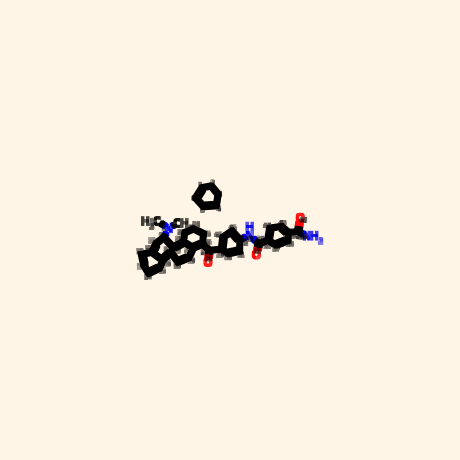 C1=CCCC=C1.CN(C)C1C=c2ccccc2=c2ccc3c(c21)CCCC=3C(=O)c1ccc(NC(=O)c2ccc(C(N)=O)cc2)cc1